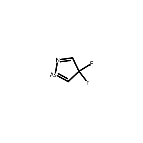 FC1(F)C=N[As]=C1